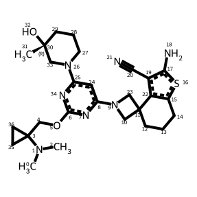 CN(C)C1(COc2nc(N3CC4(CCCc5sc(N)c(C#N)c54)C3)cc(N3CCC[C@@](C)(O)C3)n2)CC1